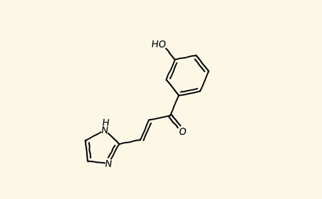 O=C(C=Cc1ncc[nH]1)c1cccc(O)c1